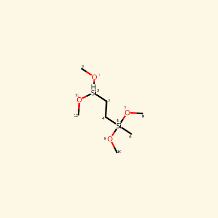 CO[SiH](CC[Si](C)(OC)OC)OC